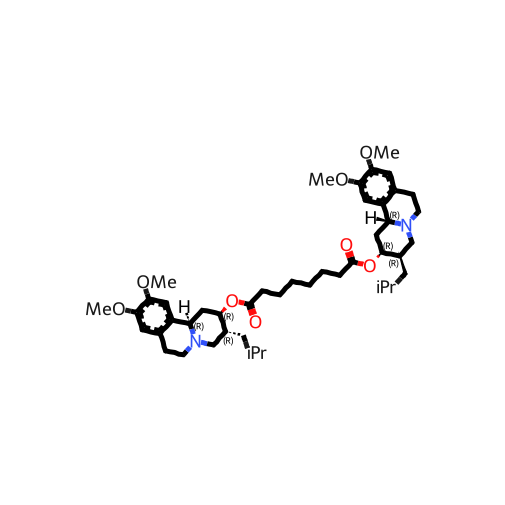 COc1cc2c(cc1OC)[C@H]1C[C@@H](OC(=O)CCCCCCC(=O)O[C@@H]3C[C@@H]4c5cc(OC)c(OC)cc5CCN4C[C@H]3CC(C)C)[C@H](CC(C)C)CN1CC2